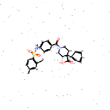 Cc1ccc(S(=O)(=O)Nc2ccc(C(=O)N3CCC(C(=O)O)(c4ccccc4)CC3)cc2)c(C)c1